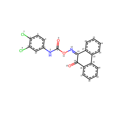 O=C(Nc1ccc(Cl)c(Cl)c1)ON=C1C(=O)c2ccccc2-c2ccccc21